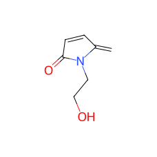 C=C1C=CC(=O)N1CCO